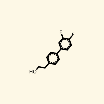 OCCc1ccc(-c2ccc(F)c(F)c2)cc1